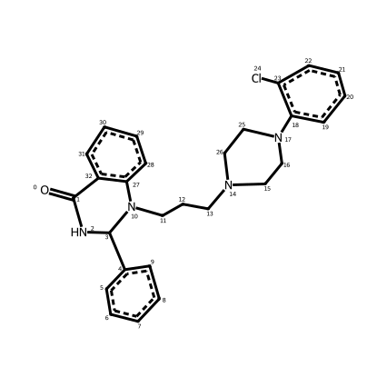 O=C1NC(c2ccccc2)N(CCCN2CCN(c3ccccc3Cl)CC2)c2ccccc21